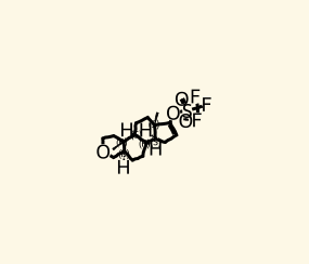 C[C@]12CCOC[C@@H]1CC[C@@H]1[C@@H]2CC[C@]2(C)C(OS(=O)(=O)C(F)(F)F)=CC[C@@H]12